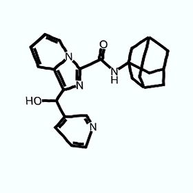 O=C(NC12CC3CC(CC(C3)C1)C2)c1nc(C(O)c2cccnc2)c2ccccn12